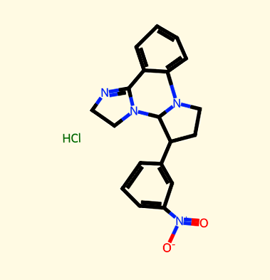 Cl.O=[N+]([O-])c1cccc(C2CCN3c4ccccc4C4=NCCN4C23)c1